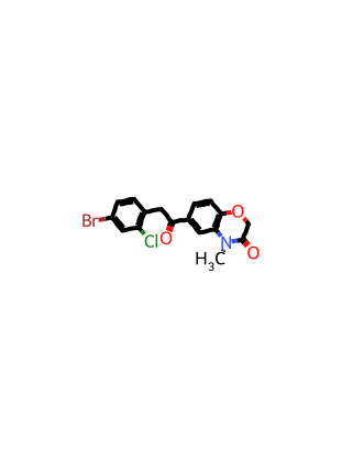 CN1C(=O)COc2ccc(C(=O)Cc3ccc(Br)cc3Cl)cc21